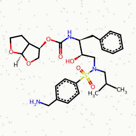 CC(C)CN(C[C@@H](O)[C@H](Cc1ccccc1)NC(=O)O[C@H]1CO[C@H]2OCCC21)S(=O)(=O)c1ccc(CN)cc1